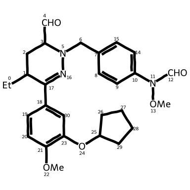 CCC1CC(C=O)N(Cc2ccc(N(C=O)OC)cc2)N=C1c1ccc(OC)c(OC2CCCC2)c1